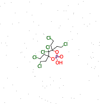 O=P1(O)OC(CCCl)(CCCl)C(Cl)(Cl)C(CCCl)(CCCl)O1